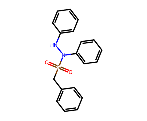 O=S(=O)(Cc1ccccc1)N(Nc1ccccc1)c1ccccc1